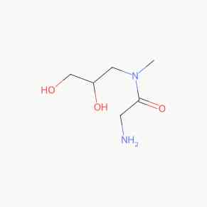 CN(CC(O)CO)C(=O)CN